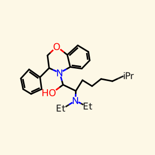 CCN(CC)C(CCCCC(C)C)C(O)N1c2ccccc2OCC1c1ccccc1